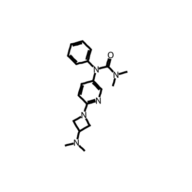 CN(C)C(=O)N(c1ccccc1)c1ccc(N2CC(N(C)C)C2)nc1